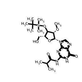 CO[C@H]1C(O[Si](C)(C)C(C)(C)C)[C@@H](CO)O[C@H]1n1cnc2c(=O)[nH]c(NC(=O)C(C)C)nc21